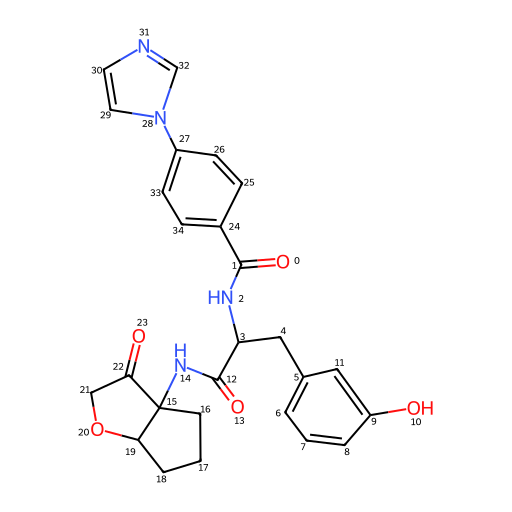 O=C(NC(Cc1cccc(O)c1)C(=O)NC12CCCC1OCC2=O)c1ccc(-n2ccnc2)cc1